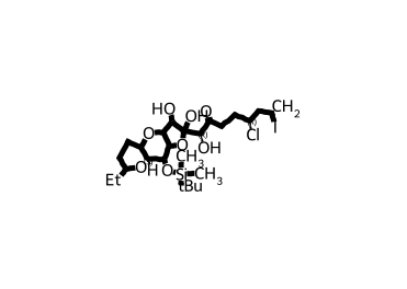 C=C(I)C[C@H](Cl)CCC(=O)[C@H](O)C1(O)OC2C(OC3CCC(CC)O[C@@H]3C2O[Si](C)(C)C(C)(C)C)C1O